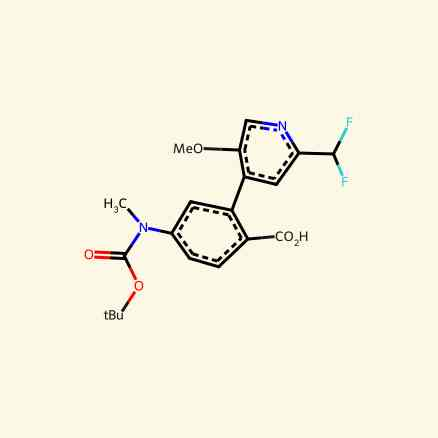 COc1cnc(C(F)F)cc1-c1cc(N(C)C(=O)OC(C)(C)C)ccc1C(=O)O